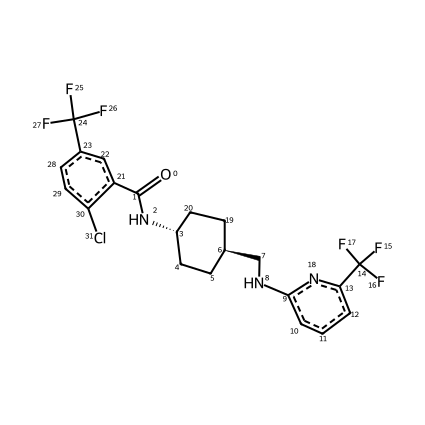 O=C(N[C@H]1CC[C@H](CNc2cccc(C(F)(F)F)n2)CC1)c1cc(C(F)(F)F)ccc1Cl